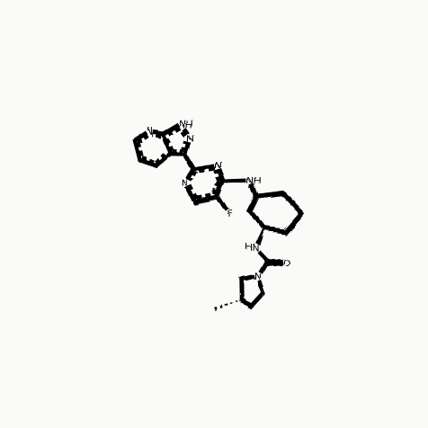 C[C@H]1CCN(C(=O)N[C@@H]2CCCC(Nc3nc(-c4n[nH]c5ncccc45)ncc3F)C2)C1